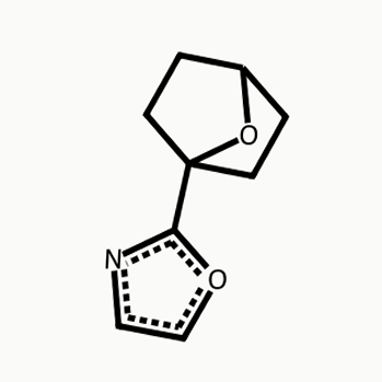 c1coc(C23CCC(CC2)O3)n1